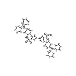 CS(=O)(=O)c1cc(-c2cc(S(=O)(=O)S)c(-c3ccc(N(c4ccccc4)c4ccccc4)cc3)s2)sc1-c1ccc(N(c2ccccc2)c2ccccc2)cc1